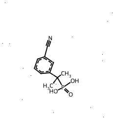 CC(C)(c1cccc(C#N)c1)P(=O)(O)O